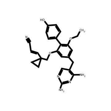 CCOc1cc(Cc2cnc(N)nc2N)cc(OCC2(C=CC#N)CC2)c1-c1ccc(O)cc1